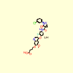 COc1cc2c(Oc3ccc(NC(=O)C4(C(=O)Nc5cccc(Cl)c5)CC4)cc3F)ccnc2cc1OCCCC(=O)O.[LiH]